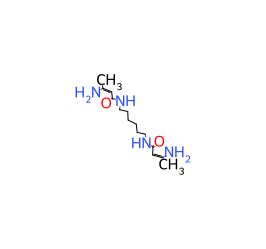 C/C(N)=C/C(=O)NCCCCCCNC(=O)/C=C(/C)N